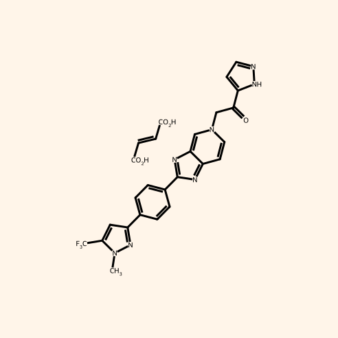 Cn1nc(-c2ccc(-c3nc4ccn(CC(=O)c5ccn[nH]5)cc-4n3)cc2)cc1C(F)(F)F.O=C(O)C=CC(=O)O